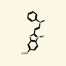 CC[n+]1c(/C=C/N(C)c2ccccc2)sc2cc(NC(C)=O)ccc21